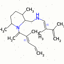 C=C/C=C(\C)C(=C)N1C(C)CCC(C)C1CN/C=C(\C)C(=C)C